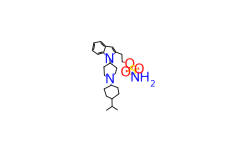 CC(C)C1CCC(N2CCC(n3c(CCOS(N)(=O)=O)cc4ccccc43)CC2)CC1